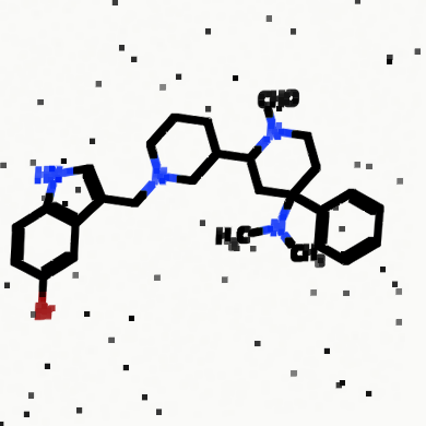 CN(C)C1(c2ccccc2)CCN(C=O)C(C2CCCN(Cc3c[nH]c4ccc(Br)cc34)C2)C1